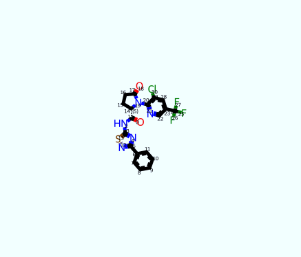 O=C(Nc1nc(-c2ccccc2)ns1)[C@@H]1CCC(=O)N1c1ncc(C(F)(F)F)cc1Cl